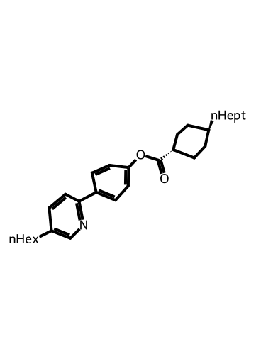 CCCCCCC[C@H]1CC[C@H](C(=O)Oc2ccc(-c3ccc(CCCCCC)cn3)cc2)CC1